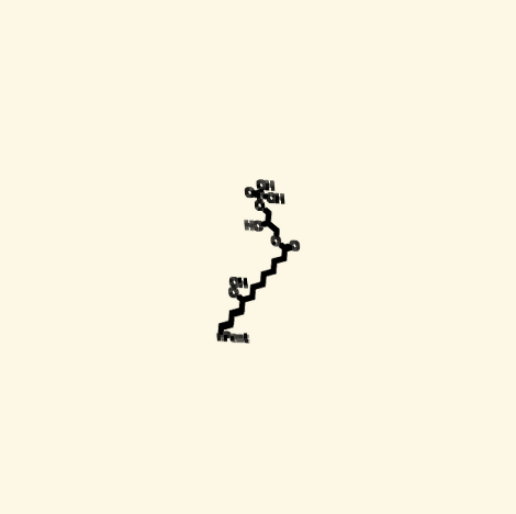 CCCCCC=CC=CC(CCCCCCCC(=O)OCC(O)COP(=O)(O)O)OO